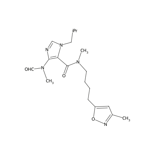 Cc1cc(CCCCN(C)C(=O)c2c(N(C)C=O)ncn2CC(C)C)on1